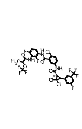 CC(OC(F)(F)F)C(=O)Nc1c(F)ccc(NC(=O)c2cc(NC(=O)[C@H]3C(c4cc(F)cc(C(F)(F)F)c4)C3(Cl)Cl)ccc2Cl)c1F